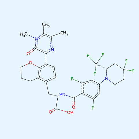 Cc1nc(-c2ccc(C[C@H](NC(=O)c3c(F)cc(N4CCC(F)(F)C[C@H]4C(F)(F)F)cc3F)C(=O)O)c3c2OCCC3)c(=O)n(C)c1C